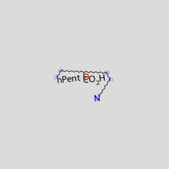 CCCCC/C=C\C/C=C\CCCCCCCCC(CCCCCCCC/C=C\C/C=C\CCCCCCCCN(C)C)COC(=O)O